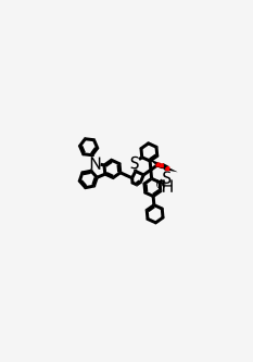 C1=CC2S[C@@H]3C=C(C4=CCCCC4)C=CC3C3(C4=CCCCC4SC4C(c5ccc6c(c5)c5ccccc5n6C5=CCCC=C5)CC=CC43)C2C=C1